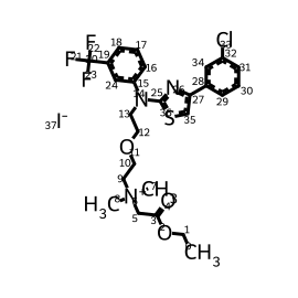 CCOC(=O)C[N+](C)(C)CCOCCN(c1cccc(C(F)(F)F)c1)c1nc(-c2cccc(Cl)c2)cs1.[I-]